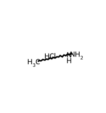 CCCCCCCCCCCCCCCCCCNCN.Cl